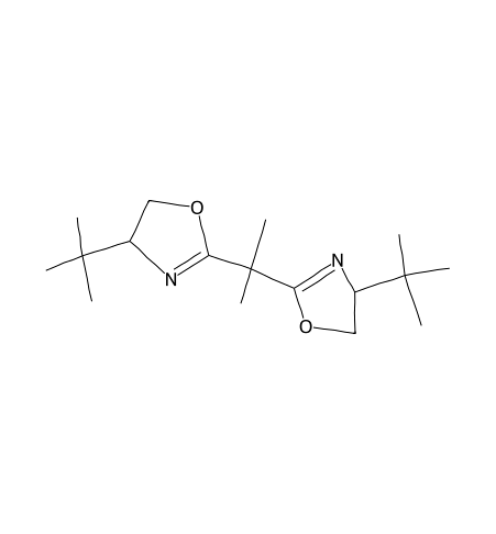 CC(C)(C1=NC(C(C)(C)C)CO1)C1=NC(C(C)(C)C)CO1